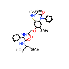 CCCCC1(CCCC)NSc2cc(OCC(=O)N[C@@H](C(=O)N[C@@H](CSC)C(=O)O)c3ccccc3)c(SC)cc2N(c2ccccc2)C1=O